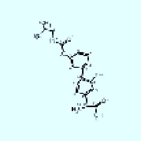 CC(C)CNC(=O)Oc1cccc(-c2ccc(C(C)C(=O)O)cc2F)c1